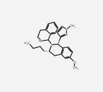 CCCC[C@H]1Cc2cc(OC)ccc2[C@H](c2ccn(C)n2)N1C1NCCc2ccccc21